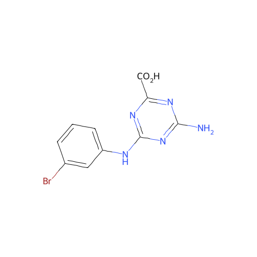 Nc1nc(Nc2cccc(Br)c2)nc(C(=O)O)n1